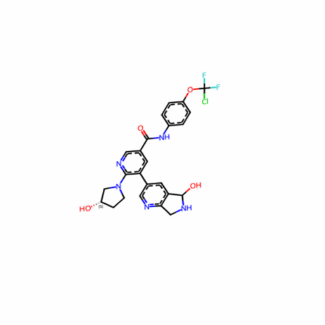 O=C(Nc1ccc(OC(F)(F)Cl)cc1)c1cnc(N2CC[C@H](O)C2)c(-c2cnc3c(c2)C(O)NC3)c1